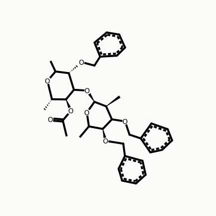 CC(=O)O[C@@H]1C(O[C@@H]2OC(C)[C@H](OCc3ccccc3)C(OCc3ccccc3)[C@@H]2C)[C@@H](OCc2ccccc2)C(C)O[C@H]1C